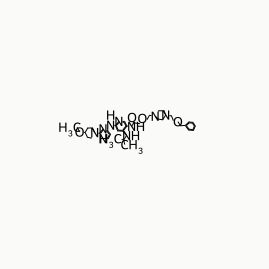 COC1CCN(c2nccc(Nc3cc(NC(C)C)c(NC(=O)COCCN4CCN(CCOCc5ccccc5)CC4)cn3)n2)CC1